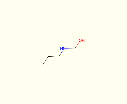 CCCNCO